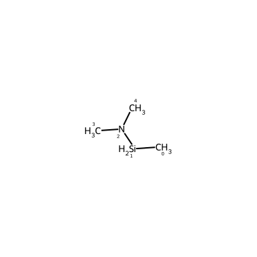 C[SiH2]N(C)C